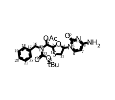 CC(=O)OC(C1OC(n2ccc(N)nc2=O)CS1)N(Cc1ccccc1)C(=O)OC(C)(C)C